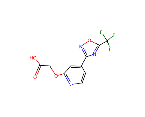 O=C(O)COc1cc(-c2noc(C(F)(F)F)n2)ccn1